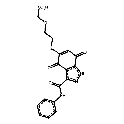 O=C(O)COCCSC1=CC(=O)c2[nH]nc(C(=O)Nc3ccccc3)c2C1=O